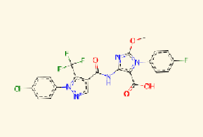 COc1nc(NC(=O)c2cnn(-c3ccc(Cl)cc3)c2C(F)(F)F)c(C(=O)O)n1-c1ccc(F)cc1